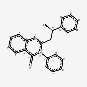 C[C@H](Cc1nc2ccccc2c(=O)n1-c1ccccc1)c1ccccc1